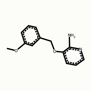 COc1cccc(COc2cccnc2N)c1